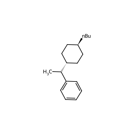 CCCC[C@H]1CC[C@H](C(C)c2ccccc2)CC1